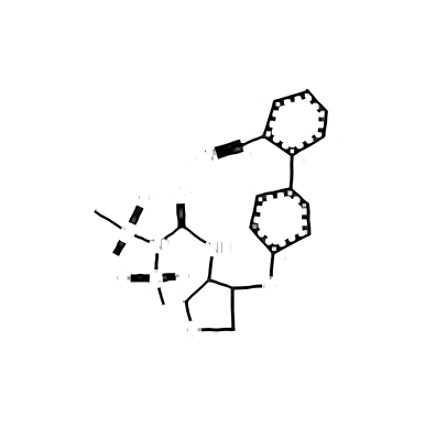 CS(=O)(=O)N(C(=O)NC1COCC1Oc1ccc(-c2ccccc2C#N)cc1)S(C)(=O)=O